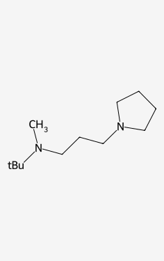 CN(CCCN1CCCC1)C(C)(C)C